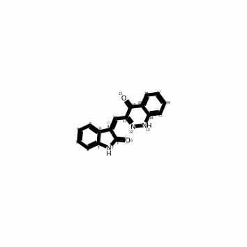 O=C1Nc2ccccc2/C1=C/c1n[nH]c2ccccc2c1=O